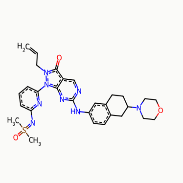 C=CCn1c(=O)c2cnc(Nc3ccc4c(c3)CCC(N3CCOCC3)C4)nc2n1-c1cccc(N=S(C)(C)=O)n1